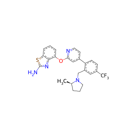 C[C@@H]1CCCN1Cc1cc(C(F)(F)F)ccc1-c1ccnc(Oc2cccc3sc(N)nc23)c1